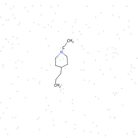 [CH2]CCC1CCN(CC)CC1